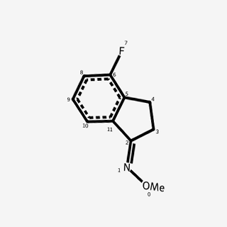 CON=C1CCc2c(F)cccc21